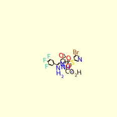 CC1OCC1OC(Sc1cncc(Br)c1)[C@H](CN(N)/C=C(\N)c1cc(F)c(F)c(F)c1)OCC(=O)O